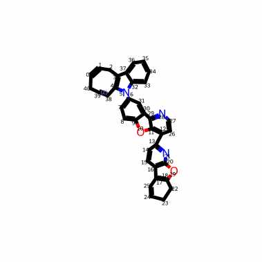 C1#CCc2c(n(-c3ccc4oc5c(-c6ccc7c8c(oc7n6)CCC=C8)ccnc5c4c3)c3ccccc23)/C=C\C1